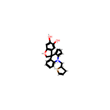 Oc1cc2c(cc1O)C1(CO2)c2ccccc2N(CC2CC=CS2)c2ccccc21